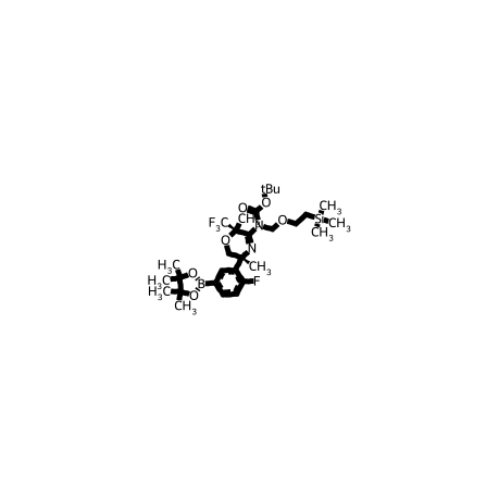 CC(C)(C)OC(=O)N(COCC[Si](C)(C)C)C1=N[C@](C)(c2cc(B3OC(C)(C)C(C)(C)O3)ccc2F)CO[C@@]1(C)C(F)(F)F